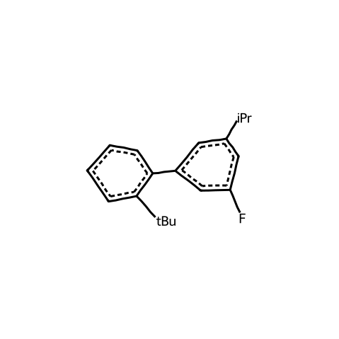 CC(C)c1cc(F)cc(-c2ccccc2C(C)(C)C)c1